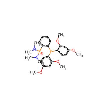 COc1ccc(P(c2ccc(OC)cc2OC)c2ccccc2P(=O)(N(C)C)N(C)C)c(OC)c1